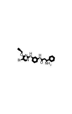 C#CCOc1nc(Nc2cccc(NC(=O)CC(N)c3ccccc3)c2)ncc1Br